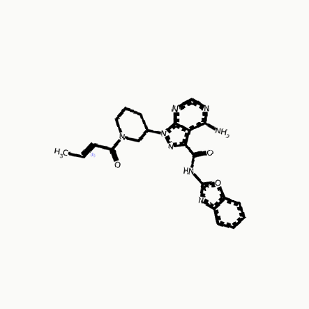 C/C=C/C(=O)N1CCCC(n2nc(C(=O)Nc3nc4ccccc4o3)c3c(N)ncnc32)C1